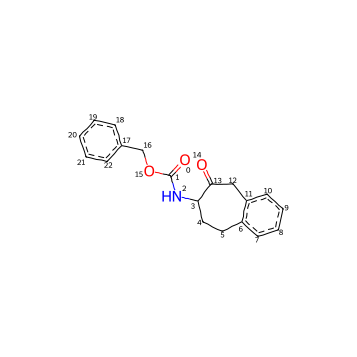 O=C(NC1CCc2ccccc2CC1=O)OCc1ccccc1